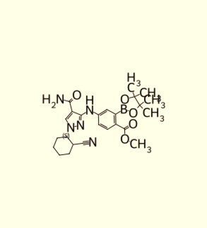 COC(=O)c1ccc(Nc2nn([C@H]3CCCCC3C#N)cc2C(N)=O)cc1B1OC(C)(C)C(C)(C)O1